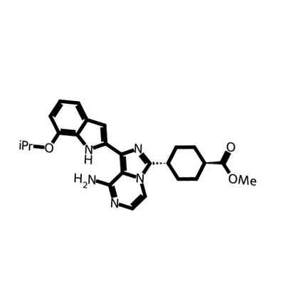 COC(=O)[C@H]1CC[C@H](c2nc(-c3cc4cccc(OC(C)C)c4[nH]3)c3c(N)nccn32)CC1